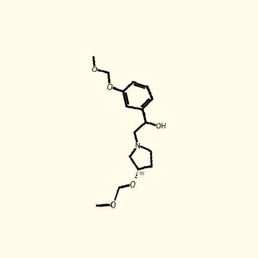 COCOc1cccc(C(O)CN2CC[C@H](OCOC)C2)c1